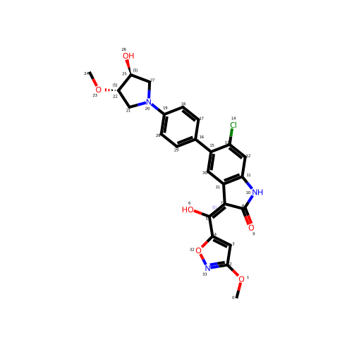 COc1cc(/C(O)=C2\C(=O)Nc3cc(Cl)c(-c4ccc(N5C[C@H](OC)[C@@H](O)C5)cc4)cc32)on1